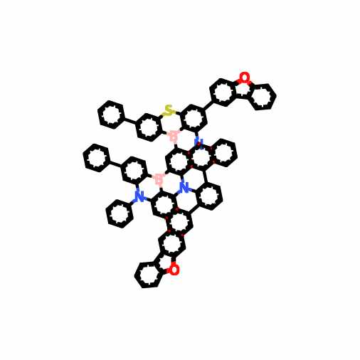 c1ccc(-c2ccc3c(c2)Sc2cc(-c4ccc5oc6ccccc6c5c4)cc4c2B3c2cc3c(cc2N4c2ccccc2)N(c2c(-c4ccccc4)cccc2-c2ccccc2)c2cc(-c4ccc5oc6ccccc6c5c4)cc4c2B3c2ccc(-c3ccccc3)cc2N4c2ccccc2)cc1